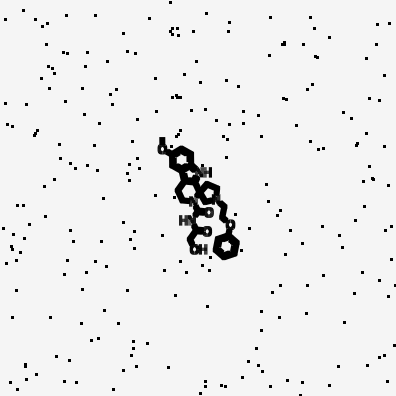 COc1ccc2[nH]c3c(c2c1)CCN(C(=O)NC(=O)CO)C31CCN(CCOc2ccccc2)C1